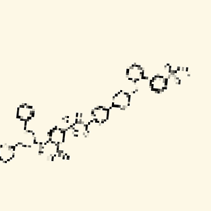 CS(=O)(=O)c1cccc(-c2ccccc2CN2CCN(c3ccc(C(=O)NS(=O)(=O)c4ccc(N[C@H](CCN5CCOCC5)CSc5ccccc5)c([N+](=O)[O-])c4)cc3)CC2)c1